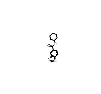 O=C(OC1CCCCC1)c1ccc2ncsc2c1